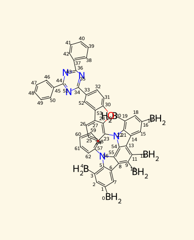 Bc1cc(B)c2c(c1)c1c(B)c(B)c3c4cc(B)cc(B)c4n(-c4cccc5c4oc4ccc(-c6nc(-c7ccccc7)nc(-c7ccccc7)n6)cc45)c3c1n2-c1ccccc1